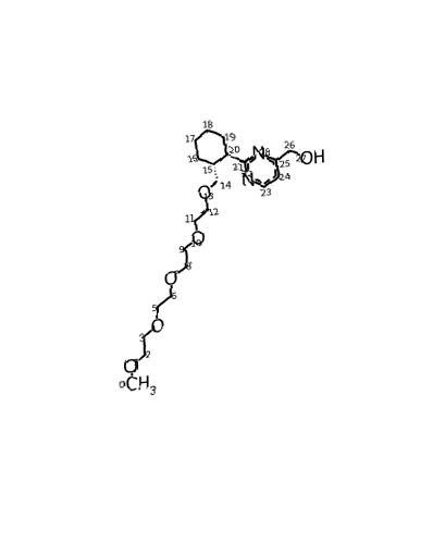 COCCOCCOCCOCCOC[C@@H]1CCCC[C@H]1c1nccc(CO)n1